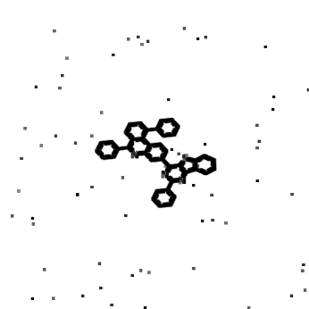 c1ccc(-c2nc(-c3ccc4c(c3)nc(-c3ccccc3)c3cccc(-c5ccccc5)c34)c3sc4ccccc4c3n2)cc1